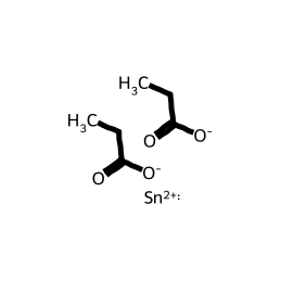 CCC(=O)[O-].CCC(=O)[O-].[Sn+2]